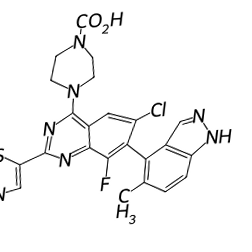 Cc1ccc2[nH]ncc2c1-c1c(Cl)cc2c(N3CCN(C(=O)O)CC3)nc(-c3cncs3)nc2c1F